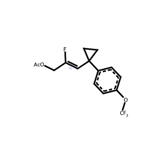 CC(=O)OC/C(F)=C/C1(c2ccc(OC(F)(F)F)cc2)CC1